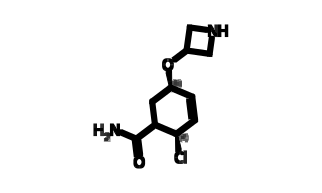 NC(=O)C1C[C@@H](OC2CNC2)C=C[C@H]1Cl